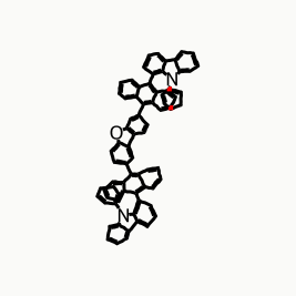 C1=CC(n2c3ccccc3c3cccc(-c4c5ccccc5c(-c5ccc6c(c5)oc5ccc(-c7c8ccccc8c(-c8cccc9c%10ccccc%10n(C%10=CCCC=C%10)c89)c8ccccc78)cc56)c5ccccc45)c32)=CCC1